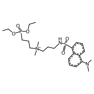 CCOP(=O)(CCC[N+](C)(C)CCCNS(=O)(=O)c1cccc2c(N(C)C)cccc12)OCC